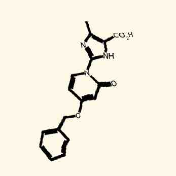 Cc1nc(-n2ccc(OCc3ccccc3)cc2=O)[nH]c1C(=O)O